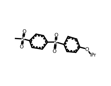 CC(C)Oc1ccc(S(=O)(=O)c2ccc(S(C)(=O)=O)cc2)cc1